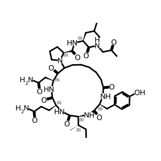 CC[C@H](C)[C@@H]1NC(=O)[C@H](Cc2ccc(O)cc2)NC(=O)CCCCCC(N2CCC[C@H]2C(=O)N[C@@H](CC(C)C)C(=O)NCC(C)=O)C(=O)[C@H](CC(N)=O)NC(=O)[C@H](CCC(N)=O)NC1=O